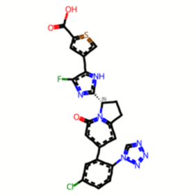 O=C(O)c1cc(-c2[nH]c([C@@H]3CCc4cc(-c5cc(Cl)ccc5-n5cnnn5)cc(=O)n43)nc2F)cs1